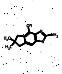 CC1(C)Cc2cc3sc(N)nc3c(O)c2C1